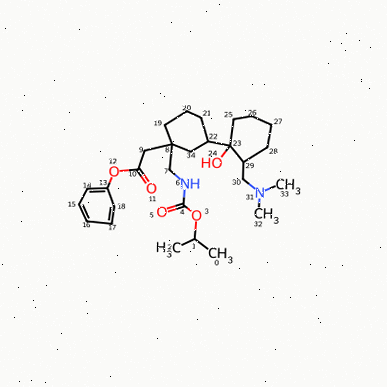 CC(C)OC(=O)NCC1(CC(=O)Oc2ccccc2)CCCC(C2(O)CCCCC2CN(C)C)C1